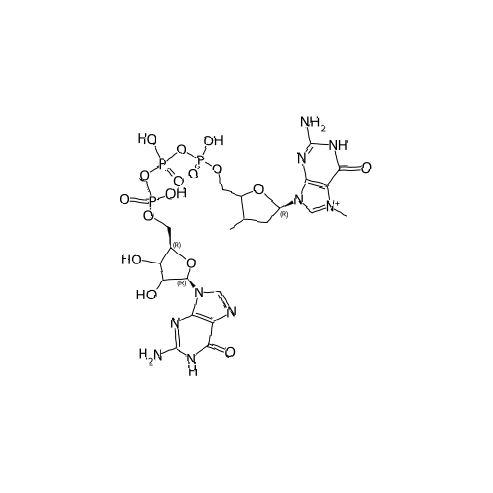 CC1C[C@H](n2c[n+](C)c3c(=O)[nH]c(N)nc32)OC1COP(=O)(O)OP(=O)(O)OP(=O)(O)OC[C@H]1O[C@@H](n2cnc3c(=O)[nH]c(N)nc32)C(O)C1O